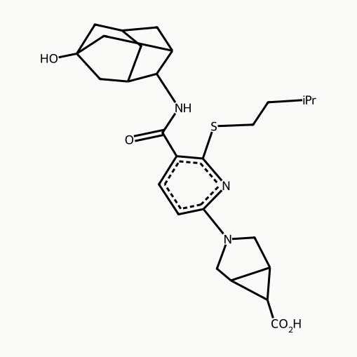 CC(C)CCSc1nc(N2CC3C(C2)C3C(=O)O)ccc1C(=O)NC1C2CC3CC1CC(O)(C3)C2